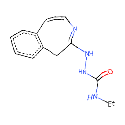 CCNC(=O)NNC1=NC=Cc2ccccc2C1